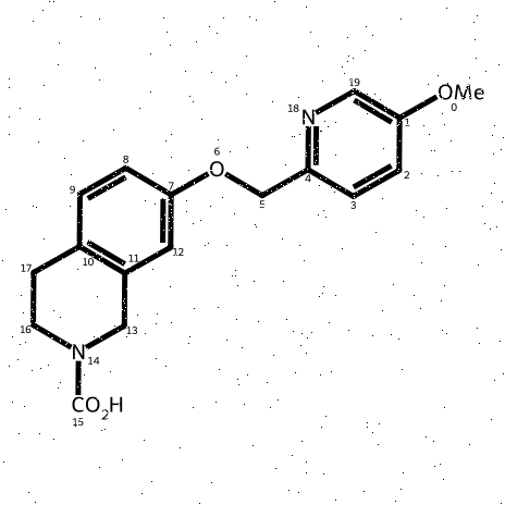 COc1ccc(COc2ccc3c(c2)CN(C(=O)O)CC3)nc1